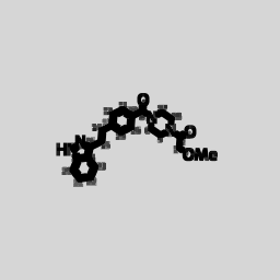 COCC(=O)N1CCN(C(=O)c2ccc(/C=C/c3n[nH]c4ccccc34)cc2)CC1